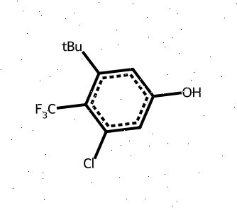 CC(C)(C)c1cc(O)cc(Cl)c1C(F)(F)F